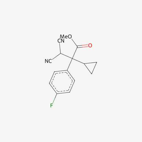 COC(=O)C(c1ccc(F)cc1)(C(C#N)C#N)C1CC1